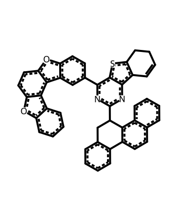 C1=Cc2c(sc3c(-c4ccc5oc6ccc7oc8ccccc8c7c6c5c4)nc(C4Cc5ccccc5-c5ccc6ccccc6c54)nc23)CC1